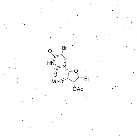 CC[C@H]1O[C@@H](n2cc(Br)c(=O)[nH]c2=O)C(OC)[C@H]1OC(C)=O